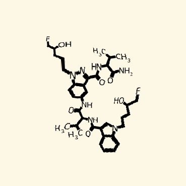 CC(C)C(NC(=O)c1nn(CCCC(O)CF)c2ccc(NC(=O)C(NC(=O)c3cn(CCCC(O)CF)c4ccccc34)C(C)C)cc12)C(N)=O